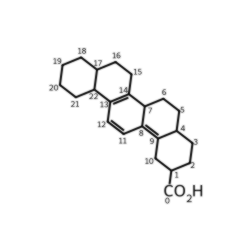 O=C(O)C1CCC2CCC3C(=C2C1)C=CC1=C3CCC2CCCCC12